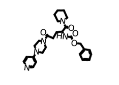 O=C(NC(CCC(=O)N1CCN(c2ccncc2)CC1)C(=O)N1CCCCC1)OCc1ccccc1